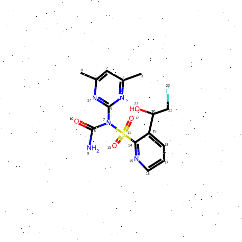 Cc1cc(C)nc(N(C(N)=O)S(=O)(=O)c2ncccc2C(O)CF)n1